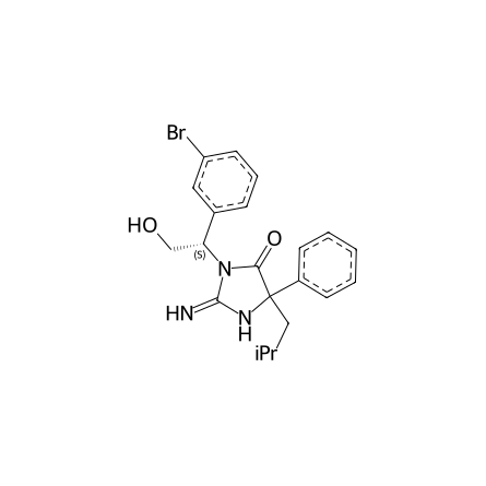 CC(C)CC1(c2ccccc2)NC(=N)N([C@H](CO)c2cccc(Br)c2)C1=O